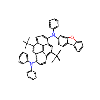 CC(C)(C)c1cc2c(N(c3ccccc3)c3ccc4c(c3)oc3ccccc34)ccc3c(C(C)(C)C)cc4c(N(c5ccccc5)c5ccccc5)ccc1c4c23